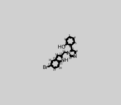 Oc1ccccc1-c1cncn1Cc1cc2cc(Br)ccc2[nH]1